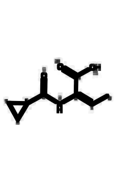 CC=C(NC(=O)C1CC1)C(=O)O